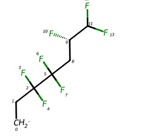 [CH2]CC(F)(F)C(F)(F)C[C@H](F)C(F)F